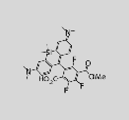 COC(=O)c1c(F)c(F)c(C(=O)O)c(C2=C3C=CC(=[N+](C)C)C=C3[Si](C)(C)c3cc(N(C)C)ccc32)c1F